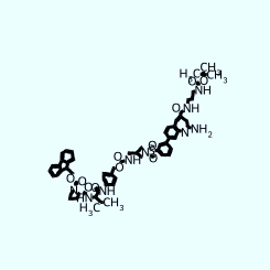 CC(C)C(NC(=O)[C@@H]1CCCN1C(=O)OCC1c2ccccc2-c2ccccc21)C(=O)Nc1ccc(COC(=O)NCC2CN(S(=O)(=O)c3cccc(-c4ccc5c(c4)N=C(N)CC(C(=O)NCCCNC(=O)OC(C)(C)C)=C5)c3)C2)cc1